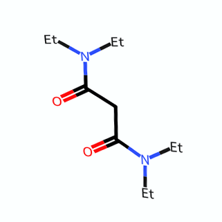 CCN(CC)C(=O)CC(=O)N(CC)CC